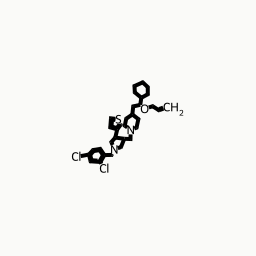 C=CCOC(CC1CCN(CC2CN(Cc3ccc(Cl)cc3Cl)CC2c2ccsc2)CC1)C1CCCCC1